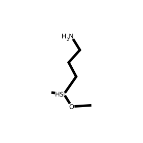 CO[SiH](C)CCCN